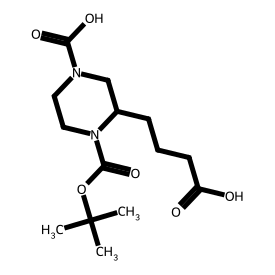 CC(C)(C)OC(=O)N1CCN(C(=O)O)CC1CCCC(=O)O